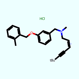 Cc1ccccc1COc1cccc(CN(C)C/C=C\C#CC(C)(C)C)c1.Cl